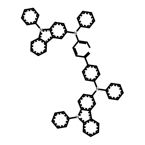 C=C(/C=C\C(=C/C)N(c1ccccc1)c1ccc2c(c1)c1ccccc1n2-c1ccccc1)c1ccc(N(c2ccccc2)c2ccc3c(c2)c2ccccc2n3-c2ccccc2)cc1